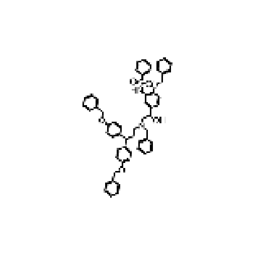 O=S(=O)(Nc1cc([C@@H](O)CN(CCC(c2ccc(OCc3ccccc3)cc2)c2ccc(OCc3ccccc3)cc2)Cc2ccccc2)ccc1OCc1ccccc1)c1ccccc1